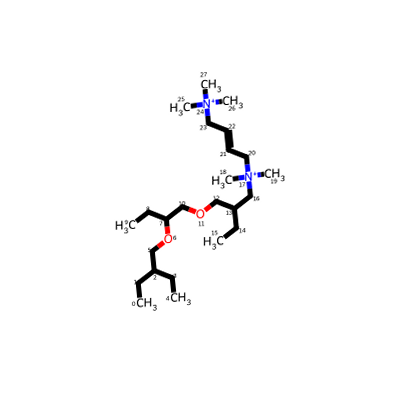 CCC(CC)COC(CC)COCC(CC)C[N+](C)(C)C/C=C/C[N+](C)(C)C